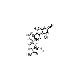 Cc1cc(C#N)cc(O)c1-c1cc2c(nn1)N([C@@H]1CC[C@H](C(=O)O)N(C)C1)CCC2